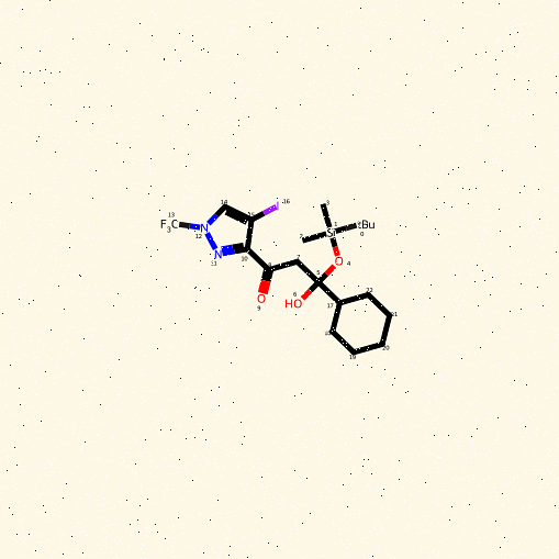 CC(C)(C)[Si](C)(C)OC(O)(CC(=O)c1nn(C(F)(F)F)cc1I)C1CCCCC1